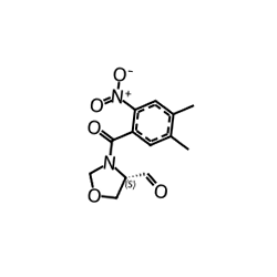 Cc1cc(C(=O)N2COC[C@H]2C=O)c([N+](=O)[O-])cc1C